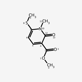 COC(=O)c1ccc(SC)n(C)c1=O